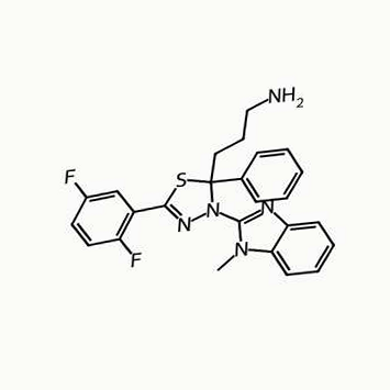 Cn1c(N2N=C(c3cc(F)ccc3F)SC2(CCCN)c2ccccc2)nc2ccccc21